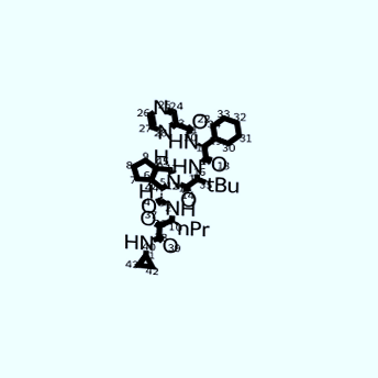 CCC[C@H](NC(=O)[C@@H]1[C@H]2CCC[C@H]2CN1C(=O)C(NC(=O)[C@@H](NC(=O)c1cnccn1)C1CCCCC1)C(C)(C)C)C(=O)C(=O)NC1CC1